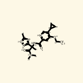 Cc1nc(C(C)(NC(=O)c2cc(OCC(F)(F)F)c(C3CC3)cn2)C(=O)N(C)C)no1